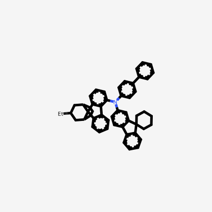 CCC1CC2CCCC(C1)C21c2ccccc2-c2c(N(c3ccc(-c4ccccc4)cc3)c3ccc4c(c3)C3(CCCCC3)c3ccccc3-4)cccc21